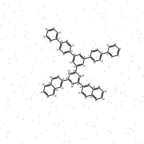 c1ccc(-c2ccc(-c3cc(-c4ccc(-c5ccccc5)cc4)cc(-c4nc(-c5ccc6ccccc6c5)nc(-c5ccc6ccccc6c5)n4)c3)cc2)cc1